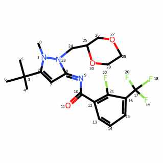 Cn1c(C(C)(C)C)cc(=NC(=O)c2cccc(C(F)(F)F)c2F)n1CC1COCCO1